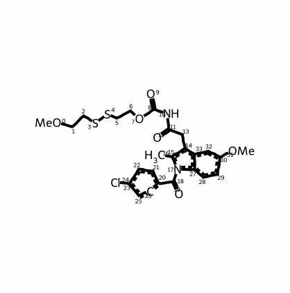 COCCSSCCOC(=O)NC(=O)Cc1c(C)n(C(=O)c2ccc(Cl)cc2)c2ccc(OC)cc12